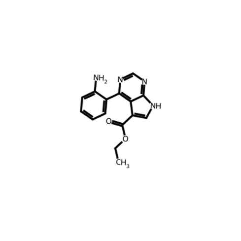 CCOC(=O)c1c[nH]c2ncnc(-c3ccccc3N)c12